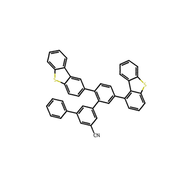 N#Cc1cc(-c2ccccc2)cc(-c2cc(-c3cccc4sc5ccccc5c34)ccc2-c2ccc3sc4ccccc4c3c2)c1